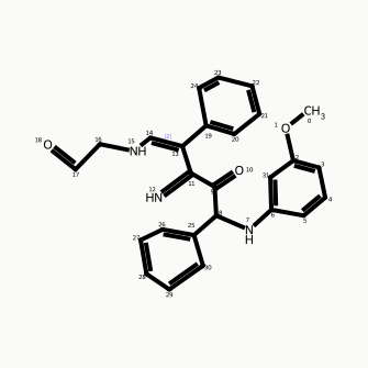 COc1cccc(NC(C(=O)C(=N)/C(=C\NCC=O)c2ccccc2)c2ccccc2)c1